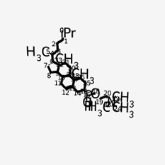 CC(C)CCC[C@@H](C)[C@H]1CCC2C3CC=C4CC([PH](=O)OCC[N+](C)(C)C)CC[C@]4(C)C3CC[C@@]21C